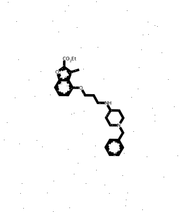 CCOC(=O)c1oc2cccc(OCCCNC3CCN(Cc4ccccc4)CC3)c2c1C